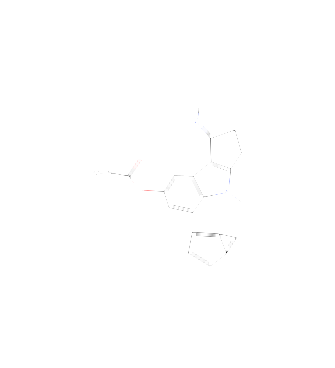 CCN=C1CCc2c1c1cc(OC(=O)NC)ccc1n2C.c1cc2cc-2c1